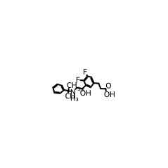 CC(C)(NC[C@@H](O)c1cc(CCC(=O)O)cc(F)c1F)c1ccccc1